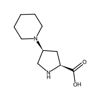 O=C(O)[C@@H]1C[C@H](N2CCCCC2)CN1